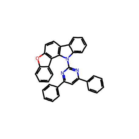 c1ccc(-c2cc(-c3ccccc3)nc(-n3c4ccccc4c4ccc5oc6ccccc6c5c43)n2)cc1